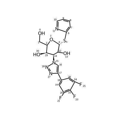 OCC1O[C@H](Sc2ccccn2)C(O)[C@@H](n2cc(-c3cc(F)c(F)c(F)c3)nn2)[C@H]1O